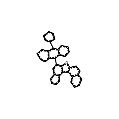 c1ccc(-c2c3ccccc3c(-c3cc4ccccc4c4c3oc3ccc5ccccc5c34)c3ccccc23)cc1